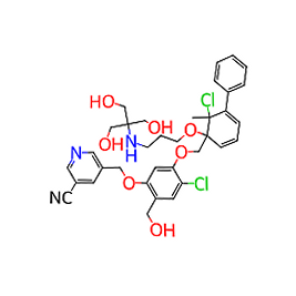 CC1(Cl)C(c2ccccc2)=CC=CC1(COc1cc(OCc2cncc(C#N)c2)c(CO)cc1Cl)OCCCNC(CO)(CO)CO